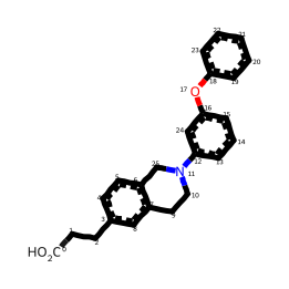 O=C(O)CCc1ccc2c(c1)CCN(c1cccc(Oc3ccccc3)c1)C2